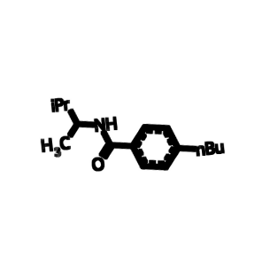 CCCCc1ccc(C(=O)NC(C)C(C)C)cc1